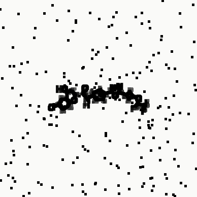 O=C(NC12CCC(c3nnc(C4CC(OC(F)C(F)F)C4)o3)(CC1)CC2)[C@H]1C[C@@H](O)c2cc(Cl)ccc2O1